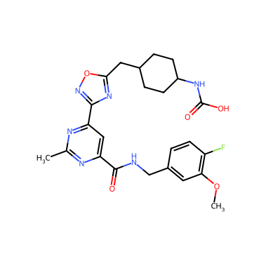 COc1cc(CNC(=O)c2cc(-c3noc(CC4CCC(NC(=O)O)CC4)n3)nc(C)n2)ccc1F